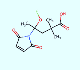 CC(C)(CC(C)(OF)N1C(=O)C=CC1=O)C(=O)O